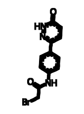 O=C(CBr)Nc1ccc(-c2ccc(=O)[nH]n2)cc1